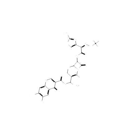 COC(NC(=O)c1c[nH]c2cc(O)c(O)cc2c1=O)C1=C(C(=O)O)N2C(=O)C(NC(=O)/C(=N\OC(C)(C)C(=O)O)c3csc(N)n3)[C@@H]2SC1